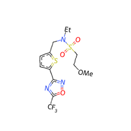 CCN(Cc1ccc(-c2noc(C(F)(F)F)n2)s1)S(=O)(=O)CCOC